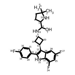 CC1(C)CCC(C(O)N[C@H]2C[C@H](c3c(-c4ccc(F)cc4)[nH]c4c(F)cc(F)cc43)C2)N1